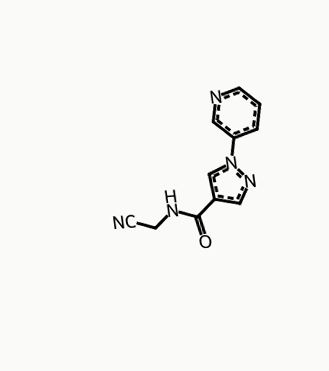 N#CCNC(=O)c1cnn(-c2cccnc2)c1